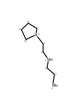 CC(C)(C)CCNCCN1CCCC1